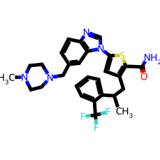 CC(Cc1cc(-n2cnc3ccc(CN4CCN(C)CC4)cc32)sc1C(N)=O)c1ccccc1C(F)(F)F